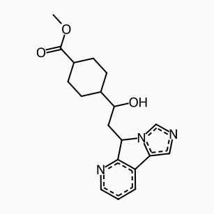 COC(=O)C1CCC(C(O)CC2c3ncccc3-c3cncn32)CC1